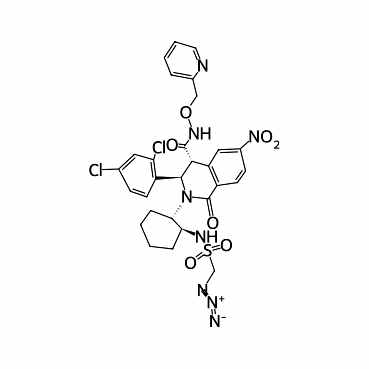 [N-]=[N+]=NCS(=O)(=O)N[C@H]1CCCC[C@@H]1N1C(=O)c2ccc([N+](=O)[O-])cc2[C@@H](C(=O)NOCc2ccccn2)[C@@H]1c1ccc(Cl)cc1Cl